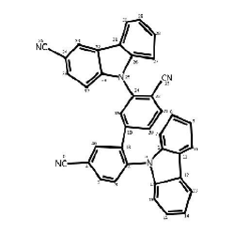 N#Cc1ccc(-n2c3ccccc3c3ccccc32)c(-c2ccc(C#N)c(-n3c4ccccc4c4cc(C#N)ccc43)c2)c1